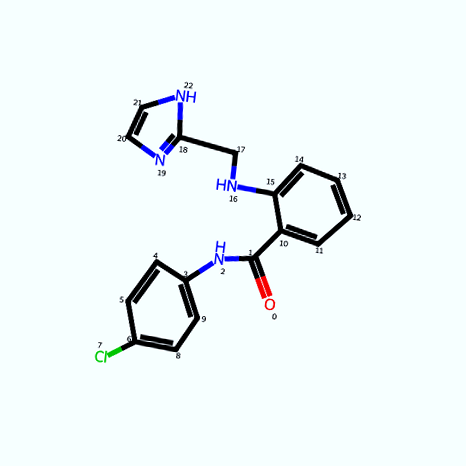 O=C(Nc1ccc(Cl)cc1)c1ccccc1NCc1ncc[nH]1